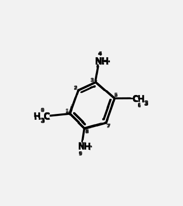 Cc1cc([NH])c(C)cc1[NH]